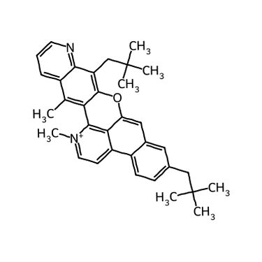 Cc1c2c(c(CC(C)(C)C)c3ncccc13)Oc1cc3cc(CC(C)(C)C)ccc3c3cc[n+](C)c-2c13